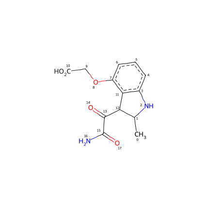 CC1Nc2cccc(OCC(=O)O)c2C1C(=O)C(N)=O